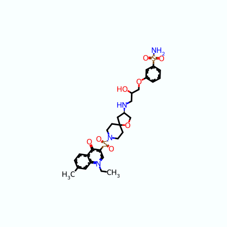 CCn1cc(S(=O)(=O)N2CCC3(CC2)C[C@@H](NCC(O)COc2cccc(S(N)(=O)=O)c2)CO3)c(=O)c2ccc(C)cc21